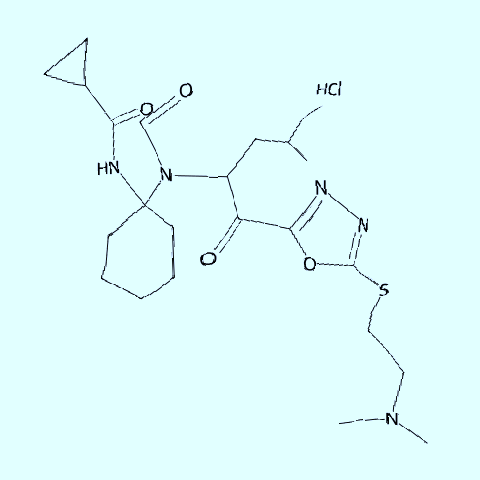 CC(C)CC(C(=O)c1nnc(SCCN(C)C)o1)N(C=O)C1(NC(=O)C2CC2)CCCCC1.Cl